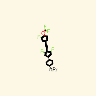 CCC[C@H]1CC[C@H](c2cc(F)c(C#Cc3ccc(OC(F)F)c(F)c3)c(F)c2)CC1